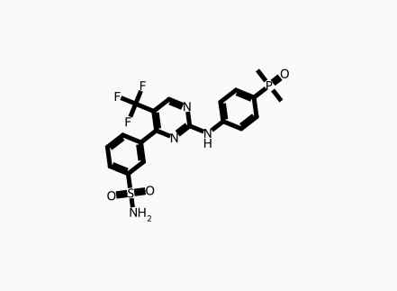 CP(C)(=O)c1ccc(Nc2ncc(C(F)(F)F)c(-c3cccc(S(N)(=O)=O)c3)n2)cc1